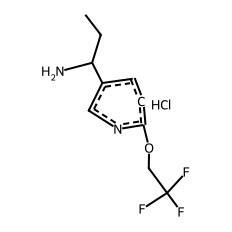 CCC(N)c1ccc(OCC(F)(F)F)nc1.Cl